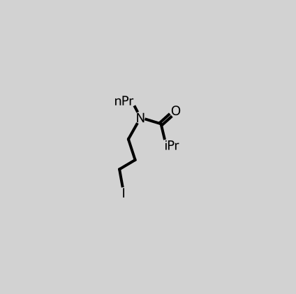 CCCN(CCCI)C(=O)C(C)C